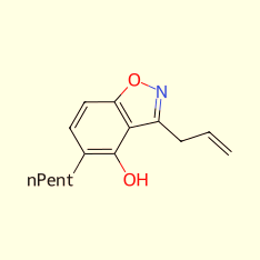 C=CCc1noc2ccc(CCCCC)c(O)c12